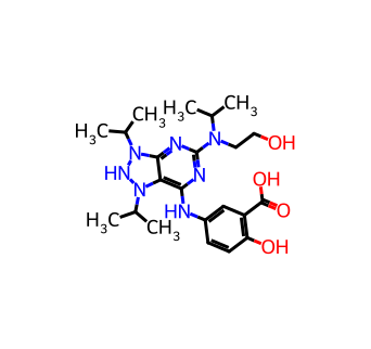 CC(C)N(CCO)c1nc(Nc2ccc(O)c(C(=O)O)c2)c2c(n1)N(C(C)C)NN2C(C)C